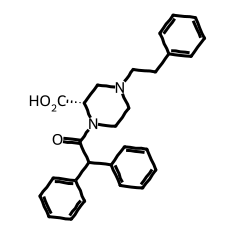 O=C(O)[C@@H]1CN(CCc2ccccc2)CCN1C(=O)C(c1ccccc1)c1ccccc1